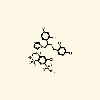 Clc1ccc(COC(Cn2ccnc2)c2ccc(Cl)cc2Cl)c(Cl)c1.NS(=O)(=O)c1cc2c(cc1Cl)NCNS2(=O)=O